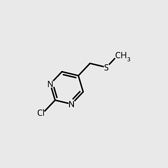 CSCc1cnc(Cl)nc1